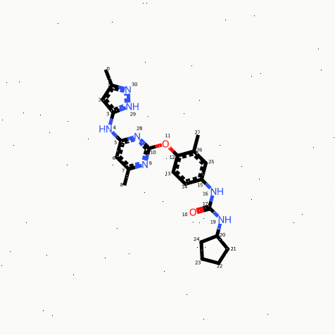 Cc1cc(Nc2cc(C)nc(Oc3ccc(NC(=O)NC4CCCC4)cc3C)n2)[nH]n1